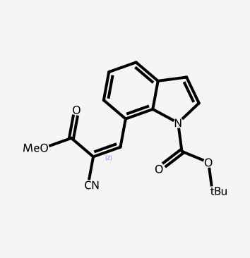 COC(=O)/C(C#N)=C\c1cccc2ccn(C(=O)OC(C)(C)C)c12